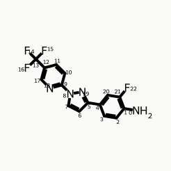 Nc1ccc(-c2ccn(-c3ccc(C(F)(F)F)cn3)n2)cc1F